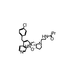 CC(C)C(=O)NCCN1CCC[C@@H]1CN1C=C(Cc2ccc(Cl)cc2)c2ccncc2[NH+]1[O-]